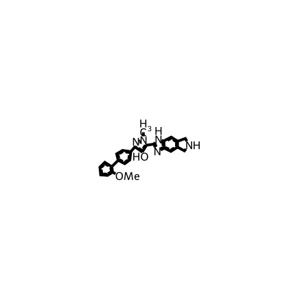 COc1ccccc1-c1ccc(-c2nn(C)c(-c3nc4cc5c(cc4[nH]3)CNC5)c2O)cc1